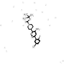 CC(C)(C)OC(=O)N1CCC(c2nnc(-c3cc(Cl)ccc3F)cc2N)CC1